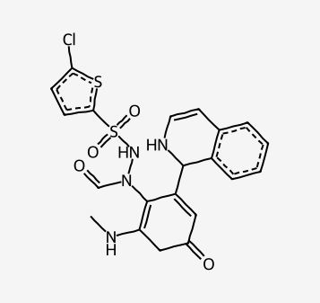 CNC1=C(N(C=O)NS(=O)(=O)c2ccc(Cl)s2)C(C2NC=Cc3ccccc32)=CC(=O)C1